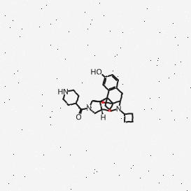 O=C(C1CCNCC1)N1C[C@H]2CC34CCC1C2C31CCN(C2CCC2)C4Cc2ccc(O)cc21